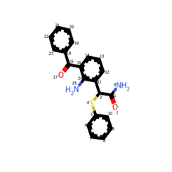 NC(=O)C(Sc1ccccc1)c1cccc(C(=O)c2ccccc2)c1N